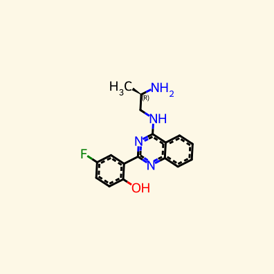 C[C@@H](N)CNc1nc(-c2cc(F)ccc2O)nc2ccccc12